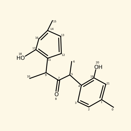 Cc1ccc(C(C)C(=O)C(C)c2ccc(C)cc2O)c(O)c1